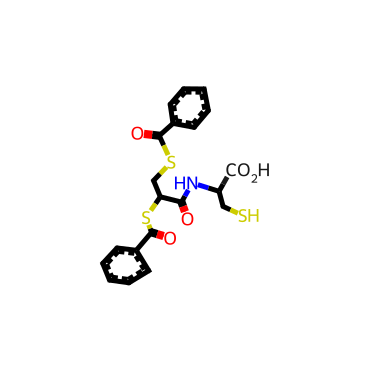 O=C(SCC(SC(=O)c1ccccc1)C(=O)NC(CS)C(=O)O)c1ccccc1